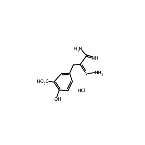 Cl.N=C(N)C(Cc1ccc(O)c(C(=O)O)c1)=NN